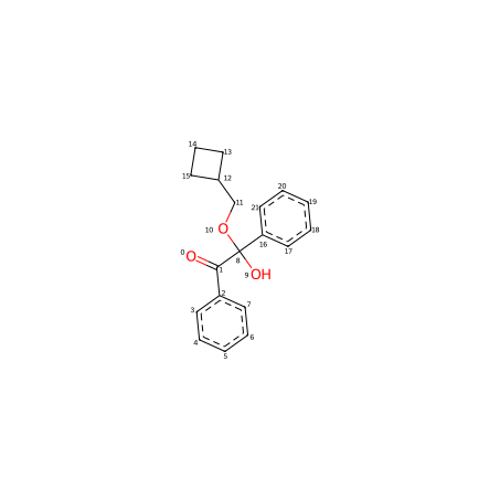 O=C(c1ccccc1)C(O)(OCC1CCC1)c1ccccc1